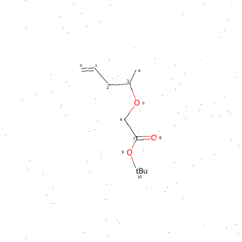 C=CCC(C)OCC(=O)OC(C)(C)C